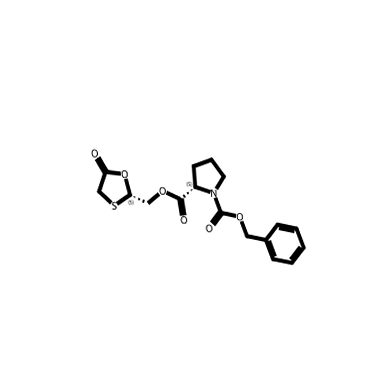 O=C1CS[C@@H](COC(=O)[C@@H]2CCCN2C(=O)OCc2ccccc2)O1